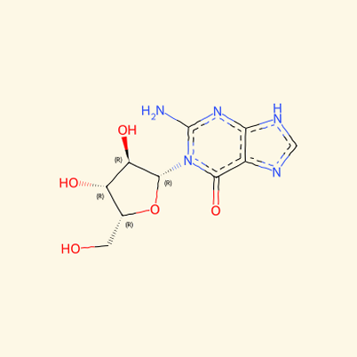 Nc1nc2[nH]cnc2c(=O)n1[C@@H]1O[C@H](CO)[C@H](O)[C@H]1O